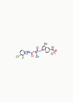 CC(=O)c1cn(CC(=O)N(CC(=O)NCc2cccc(Cl)c2F)C2CC2)c2ccc(NS(C)(=O)=O)cc12